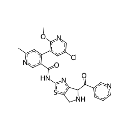 COc1ncc(Cl)cc1-c1cc(C)ncc1C(=O)Nc1nc2c(s1)CNC2C(=O)c1cccnc1